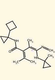 C=N/C(NC1(C)CC1)=C(\C)C(C(=O)NC1(C2CCC2)CC1)=C(C)C